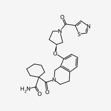 NC(=O)C1(C(=O)N2CCc3cccc(O[C@H]4CCN(C(=O)c5cncs5)C4)c3C2)CCCCC1